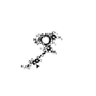 CC[C@H]1OC(=O)[C@H](C)[C@@H](OC2CC(C)(OC)[C@H](OC(=O)CCOCCOc3cc4c(=O)c(C(=O)OCC(C)=O)cn(C5CC5)c4cc3Cl)[C@H](C)O2)[C@H](C)[C@@H](O[C@@H]2O[C@H](C)C[C@H](N(C)C)[C@@H]2O)[C@](C)(O)C[C@@H](C)CN(C)[C@H](C)[C@@H](OC)[C@]1(C)O